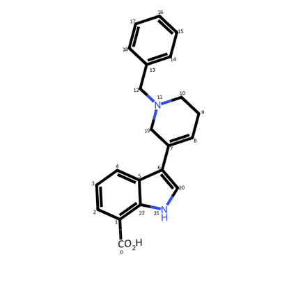 O=C(O)c1cccc2c(C3=CCCN(Cc4ccccc4)C3)c[nH]c12